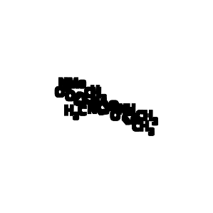 CNC(=O)COc1cc(C)c(-c2nc3ccc(OC(=O)Nc4ccc(C)c(C)c4)cc3[nH]2)c(C)c1